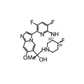 COc1cc2ncc(-c3nc(N[C@H]4CNCC[C@@H]4F)c(F)cc3F)n2cc1C(C)(C)O